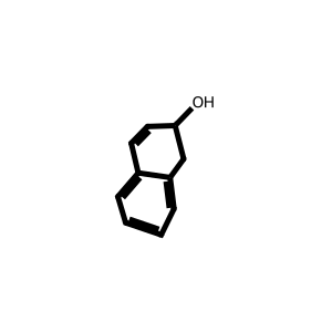 O[C]1C=Cc2ccccc2C1